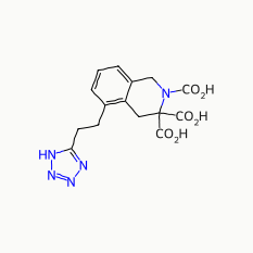 O=C(O)N1Cc2cccc(CCc3nnn[nH]3)c2CC1(C(=O)O)C(=O)O